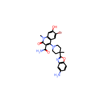 Cn1c(=O)c(C(N)=O)c(N2CCC(C)(c3nc4cc(N)ccc4o3)CC2)c2cc(Br)c(O)cc21